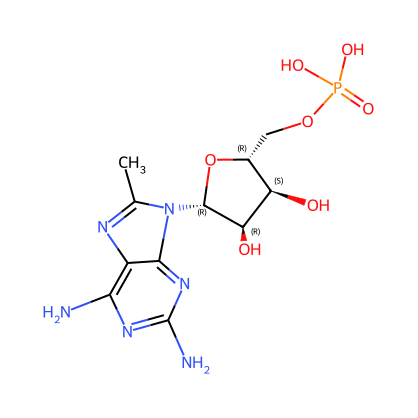 Cc1nc2c(N)nc(N)nc2n1[C@@H]1O[C@H](COP(=O)(O)O)[C@@H](O)[C@H]1O